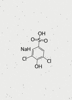 O=S(=O)(O)c1cc(Cl)c(O)c(Cl)c1.[NaH]